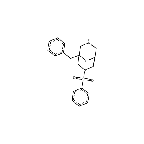 O=S(=O)(c1ccccc1)N1CC2CNCC(Cc3ccccc3)(C1)O2